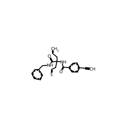 C#Cc1ccc(C(=O)NC(CC=C)(CC=S)C(=O)NCc2ccccc2)cc1